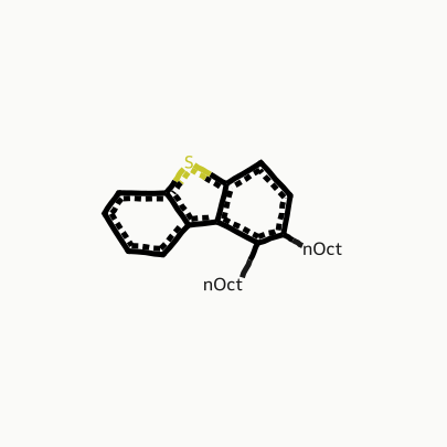 CCCCCCCCc1ccc2sc3ccccc3c2c1CCCCCCCC